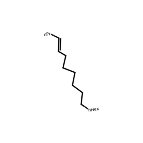 C[CH]CCCCCCCCCCC=CCCC